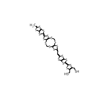 C=C1SC2=C(S1)SC(=C1SC3=C(SCSC4=C(SCS3)SC(=CC=C3SC5=C(S3)SC(=C3SC(CS)=C(CS)S3)S5)S4)S1)S2